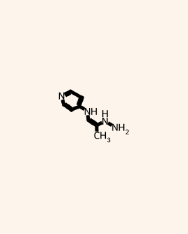 CC(=CNc1ccncc1)NN